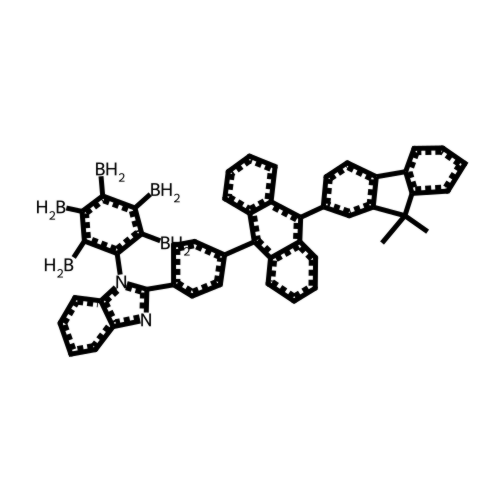 Bc1c(B)c(B)c(-n2c(-c3ccc(-c4c5ccccc5c(-c5ccc6c(c5)C(C)(C)c5ccccc5-6)c5ccccc45)cc3)nc3ccccc32)c(B)c1B